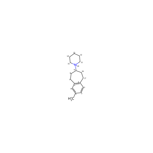 Cc1ccc2c(c1)CCC(N1CCCCC1)CC2